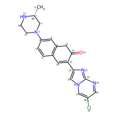 C[C@@H]1CN(c2ccc3c(c2)CC(=O)C(c2cn4cc(Cl)cnc4n2)=C3)CCN1